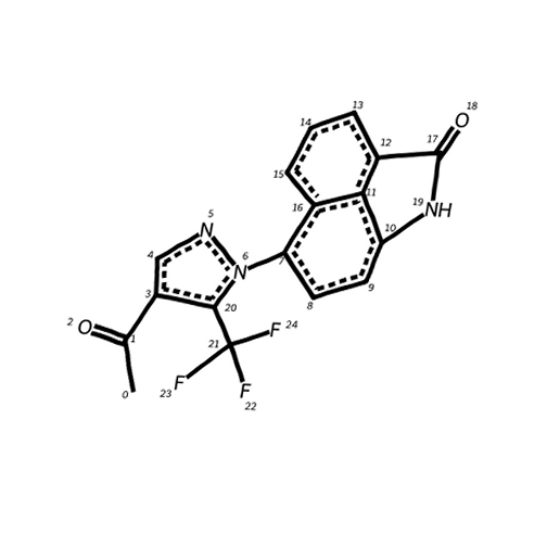 CC(=O)c1cnn(-c2ccc3c4c(cccc24)C(=O)N3)c1C(F)(F)F